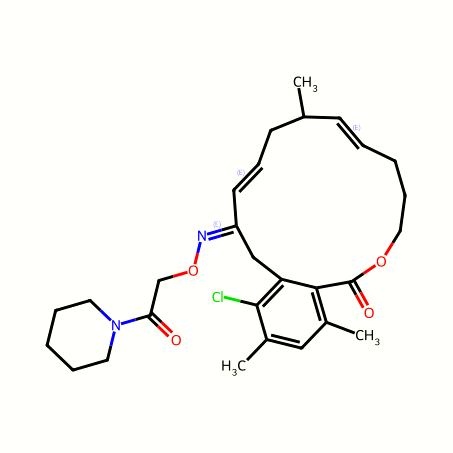 Cc1cc(C)c2c(c1Cl)CC(=N\OCC(=O)N1CCCCC1)/C=C/CC(C)/C=C/CCCOC2=O